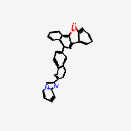 c1ccc2c(c1)oc1c3ccccc3c(-c3ccc4cc(-c5cn6ccccc6n5)ccc4c3)cc21